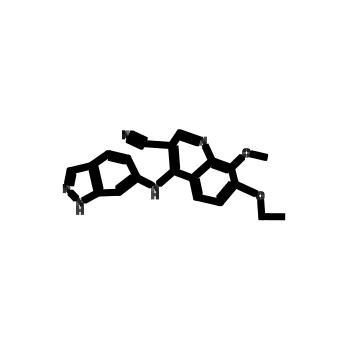 CCOc1ccc2c(Nc3ccc4cn[nH]c4c3)c(C#N)cnc2c1OC